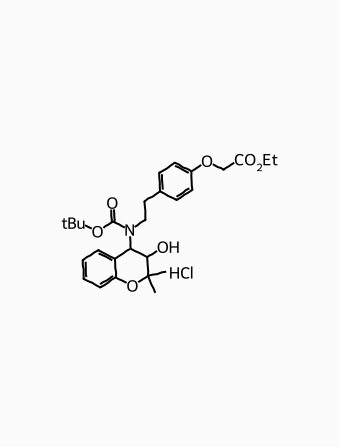 CCOC(=O)COc1ccc(CCN(C(=O)OC(C)(C)C)C2c3ccccc3OC(C)(C)C2O)cc1.Cl